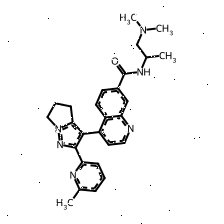 Cc1cccc(-c2nn3c(c2-c2ccnc4cc(C(=O)NC(C)CN(C)C)ccc24)CCC3)n1